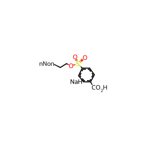 CCCCCCCCCCCOS(=O)(=O)c1ccc(C(=O)O)cc1.[NaH]